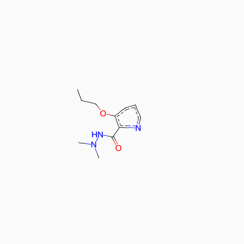 CCCOc1cccnc1C(=O)NN(C)C